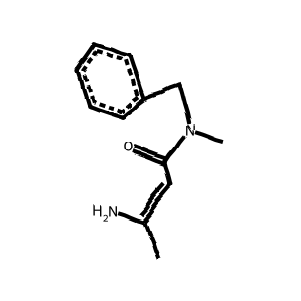 C/C(N)=C/C(=O)N(C)Cc1ccccc1